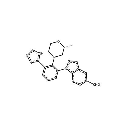 C[C@@H]1CN(c2c(-c3nnc[nH]3)cccc2-n2ncc3cc(C=O)cnc32)CCO1